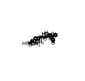 C[C@]12CC/C(=N\OCC(=O)NCc3c(O)ccc4c(-c5ccccc5C(=O)O)c5ccc(=O)cc-5oc34)C=C1CCC1C2[C@@H](O)C[C@@]2(C)C1CC[C@]2(O)C(=O)CO